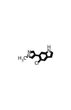 Cn1cc(-c2cc3[nH]ccc3cc2Cl)cn1